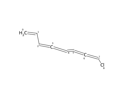 C=CC=C=C=C=C=[C]Cl